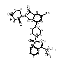 CN(C)C(=O)c1ccccc1S(=O)(=O)N1CCN(c2cc(F)cc3c2CN(C2CCC(=O)NC2=O)C3=O)CC1